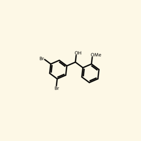 COc1ccccc1C(O)c1cc(Br)cc(Br)c1